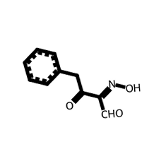 O=CC(=NO)C(=O)Cc1ccccc1